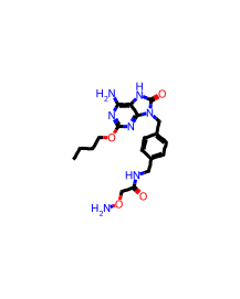 CCCCOc1nc(N)c2[nH]c(=O)n(Cc3ccc(CNC(=O)CON)cc3)c2n1